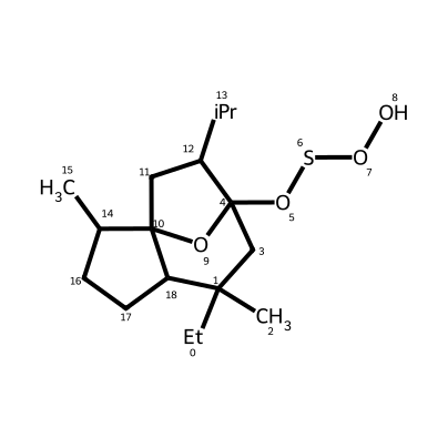 CCC1(C)CC2(OSOO)OC3(CC2C(C)C)C(C)CCC13